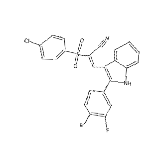 N#CC(=Cc1c(-c2ccc(Br)c(F)c2)[nH]c2ccccc12)S(=O)(=O)c1ccc(Cl)cc1